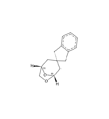 [CH]1[C@@H]2OC[C@H](CC13Cc1ccccc1C3)O2